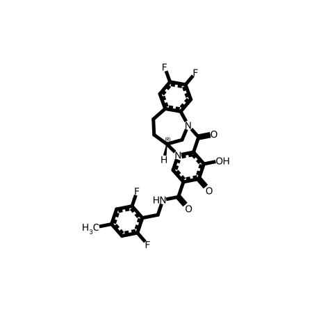 Cc1cc(F)c(CNC(=O)c2cn3c(c(O)c2=O)C(=O)N2C[C@H]3CCc3cc(F)c(F)cc32)c(F)c1